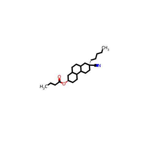 CCCCC[C@]1(C#N)CCC2C(CCC3C[C@H](OC(=O)CCC)CCC32)C1